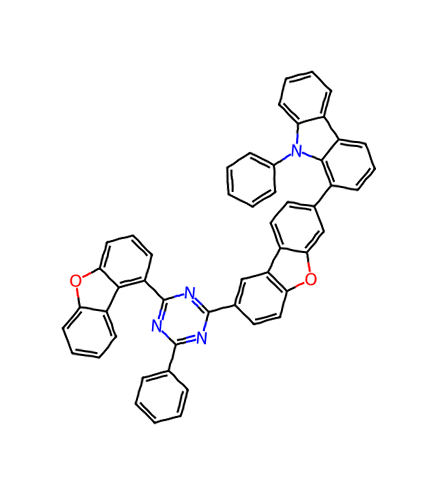 c1ccc(-c2nc(-c3ccc4oc5cc(-c6cccc7c8ccccc8n(-c8ccccc8)c67)ccc5c4c3)nc(-c3cccc4oc5ccccc5c34)n2)cc1